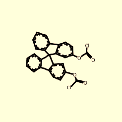 O=C(Cl)Oc1ccc2c(c1)C1(c3ccccc3-2)c2ccccc2-c2ccc(OC(=O)Cl)cc21